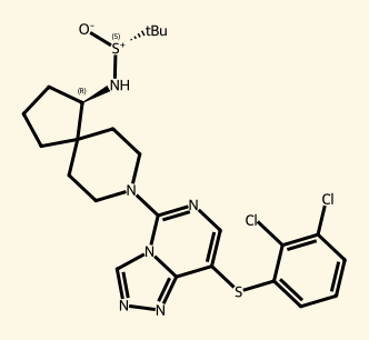 CC(C)(C)[S@@+]([O-])N[C@@H]1CCCC12CCN(c1ncc(Sc3cccc(Cl)c3Cl)c3nncn13)CC2